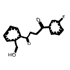 O=C(CCC(=O)c1ccccc1CO)c1cccc(F)c1